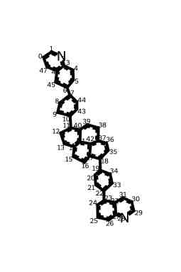 c1cnc2ccc(-c3ccc(-c4ccc5ccc6c(-c7ccc(-c8cccc9ncccc89)cc7)ccc7ccc4c5c76)cc3)cc2c1